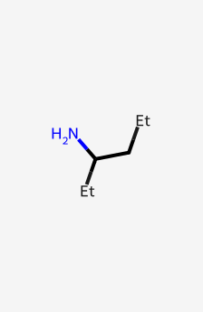 CCC[C](N)CC